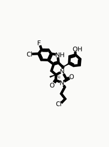 C[C@@]12Cc3c([nH]c4cc(F)c(Cl)cc34)[C@@H](c3cccc(O)c3)N1C(=O)N(CCCCl)C2=O